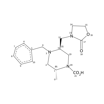 C[C@@H]1CN(Cc2ccccc2)[C@@H](CN2CCOC2=O)CN1C(=O)O